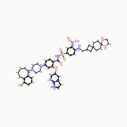 O=C(NS(=O)(=O)c1ccc(NCC2CC3(CCC4(CC3)OCCO4)C2)c([N+](=O)[O-])c1)c1ccc(N2CCN([C@@H]3CCCCc4c(Cl)cccc43)CC2)cc1Oc1cnc2[nH]ccc2c1